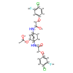 CC(=O)OC1CC2(NC(=O)COc3ccc(Cl)c(F)c3)CCC1(NC(=O)COc1ccc(Cl)c(F)c1)CC2